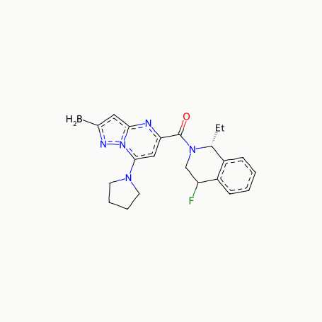 Bc1cc2nc(C(=O)N3CC(F)c4ccccc4[C@H]3CC)cc(N3CCCC3)n2n1